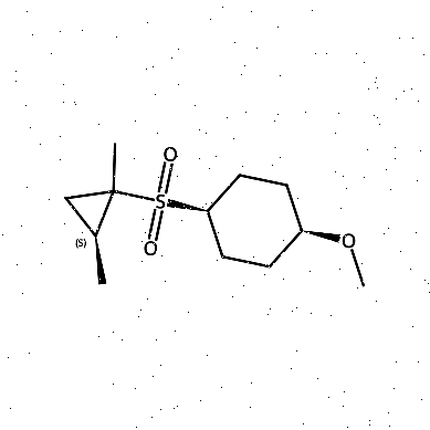 CO[C@H]1CC[C@@H](S(=O)(=O)C2(C)C[C@@H]2C)CC1